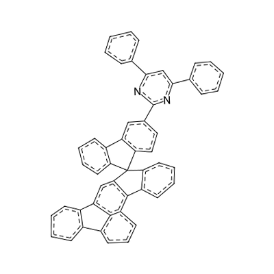 c1ccc(-c2cc(-c3ccccc3)nc(-c3ccc4c(c3)-c3ccccc3C43c4ccccc4-c4c3cc3c5c(cccc45)-c4ccccc4-3)n2)cc1